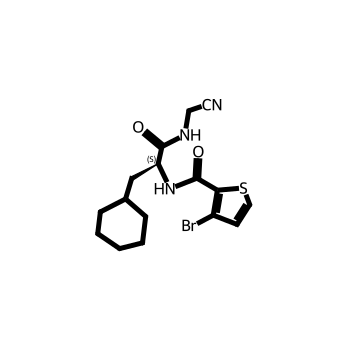 N#CCNC(=O)[C@H](CC1CCCCC1)NC(=O)c1sccc1Br